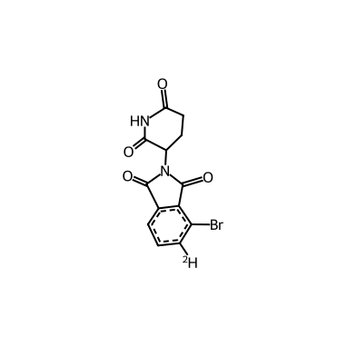 [2H]c1ccc2c(c1Br)C(=O)N(C1CCC(=O)NC1=O)C2=O